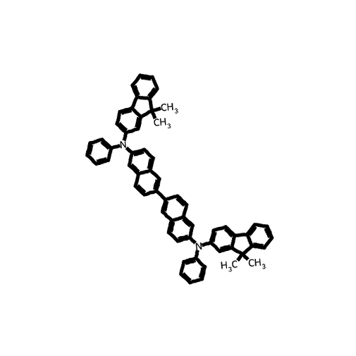 CC1(C)c2ccccc2-c2ccc(N(c3ccccc3)c3ccc4cc(-c5ccc6cc(N(c7ccccc7)c7ccc8c(c7)C(C)(C)c7ccccc7-8)ccc6c5)ccc4c3)cc21